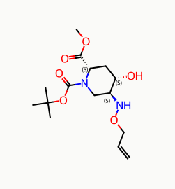 C=CCON[C@H]1CN(C(=O)OC(C)(C)C)[C@H](C(=O)OC)C[C@@H]1O